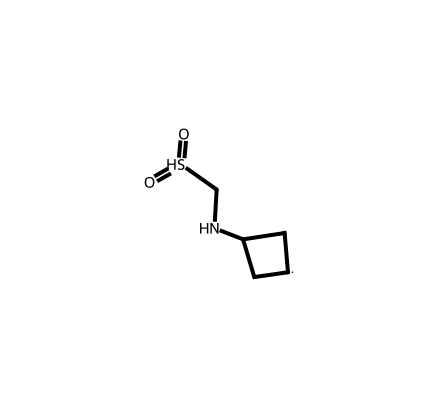 O=[SH](=O)CNC1C[CH]C1